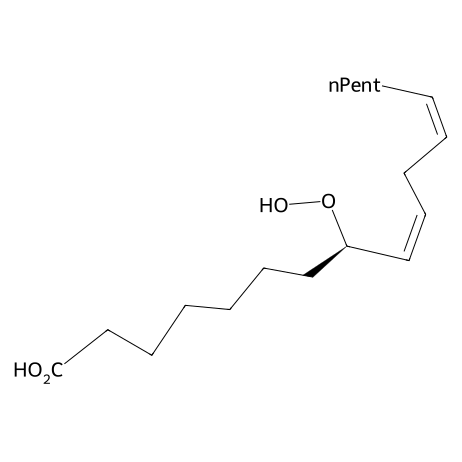 CCCCC/C=C\C/C=C\[C@@H](CCCCCCC(=O)O)OO